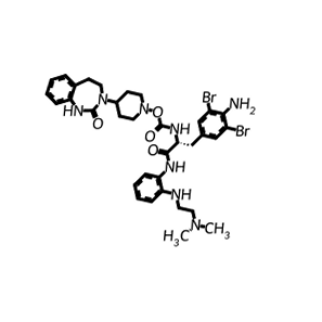 CN(C)CCNc1ccccc1NC(=O)[C@@H](Cc1cc(Br)c(N)c(Br)c1)NC(=O)ON1CCC(N2CCc3ccccc3NC2=O)CC1